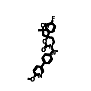 COc1ccc(-c2ccc([C@H](C)N3CCC(CC(C)(C)O)(c4ccc(F)cc4)OC3=O)cc2)cn1